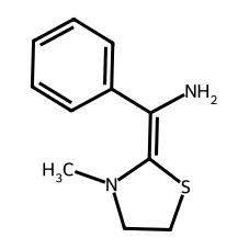 CN1CCSC1=C(N)c1ccccc1